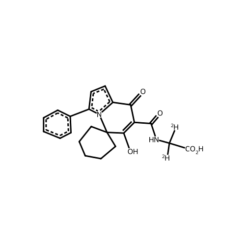 [2H]C([2H])(NC(=O)C1=C(O)C2(CCCCC2)n2c(ccc2-c2ccccc2)C1=O)C(=O)O